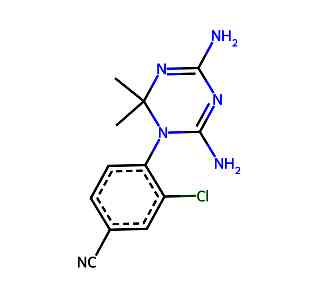 CC1(C)N=C(N)N=C(N)N1c1ccc(C#N)cc1Cl